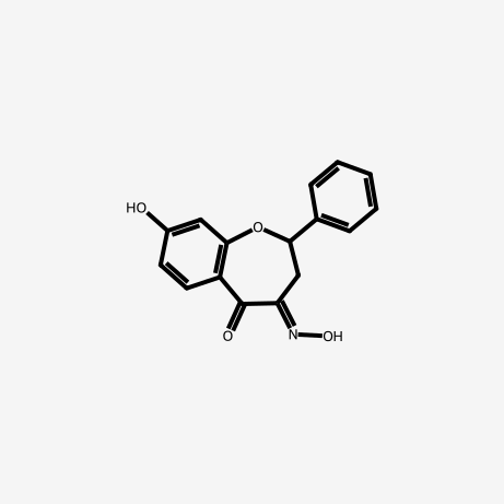 O=C1/C(=N/O)CC(c2ccccc2)Oc2cc(O)ccc21